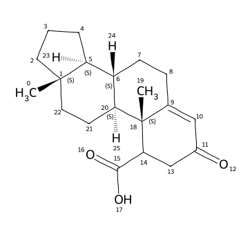 C[C@@]12CCC[C@H]1[C@@H]1CCC3=CC(=O)CC(C(=O)O)[C@]3(C)[C@H]1CC2